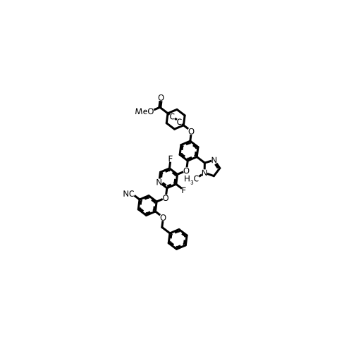 COC(=O)C12CCC(Oc3ccc(Oc4c(F)cnc(Oc5cc(C#N)ccc5OCc5ccccc5)c4F)c(C4N=CCN4C)c3)(CC1)CC2